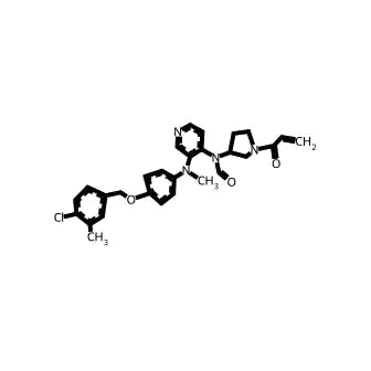 C=CC(=O)N1CCC(N(C=O)c2ccncc2N(C)c2ccc(OCc3ccc(Cl)c(C)c3)cc2)C1